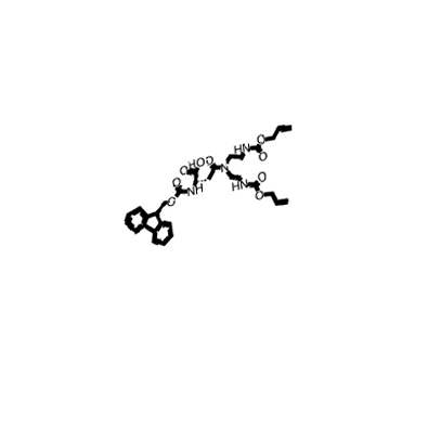 C=CCOC(=O)NCCN(CCNC(=O)OCC=C)C(=O)C[C@H](NC(=O)OCC1c2ccccc2-c2ccccc21)C(=O)O